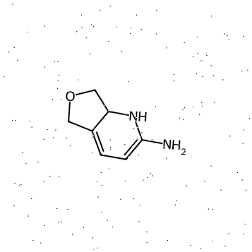 NC1=CC=C2COCC2N1